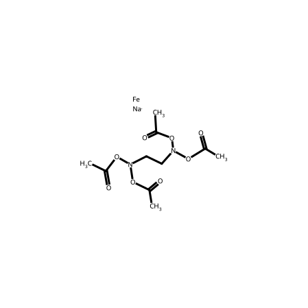 CC(=O)ON(CCN(OC(C)=O)OC(C)=O)OC(C)=O.[Fe].[Na]